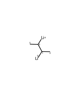 [Li][CH](C)[CH]([Li])C